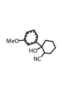 COc1cccc(C2(O)CCCCC2C#N)c1